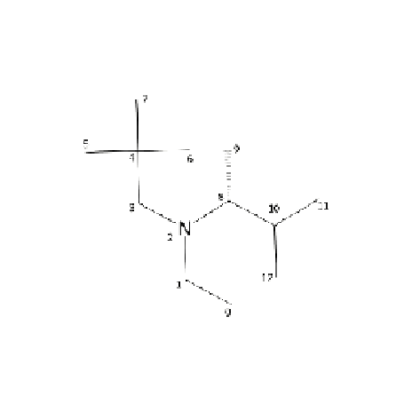 CCN(CC(C)(C)C)[C@H](C)C(C)C